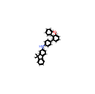 CC1(C)c2ccccc2-c2ccc(Nc3ccc(-c4cccc5oc6ccccc6c45)cc3)cc21